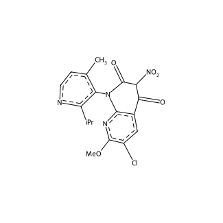 COc1nc2c(cc1Cl)C(=O)C([N+](=O)[O-])C(=O)N2c1c(C)ccnc1C(C)C